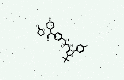 Cc1ccc(-n2nc(C(C)(C)C)cc2NC(=O)Nc2ccc(C(C(=O)[C@@H]3CCC(=O)O3)C3CCNCC3)cc2)cc1